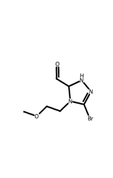 COCCN1C(Br)=NNC1C=O